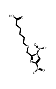 O=C(O)CCCCCOCc1nc([N+](=O)[O-])cn1[N+](=O)[O-]